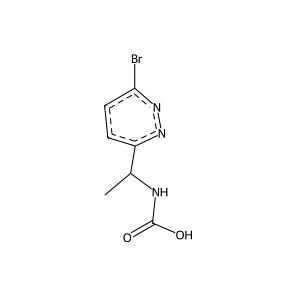 CC(NC(=O)O)c1ccc(Br)nn1